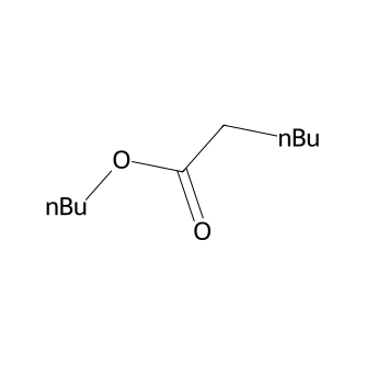 [CH2]CCCOC(=O)CCCCC